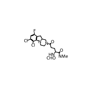 CNC(=O)C(CCC(=O)N1CCN2c3c(Cl)c(Cl)cc(F)c3CC2C1)NC=O